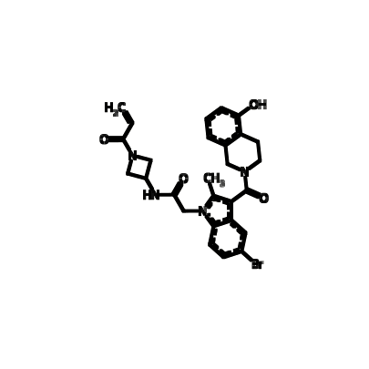 C=CC(=O)N1CC(NC(=O)Cn2c(C)c(C(=O)N3CCc4c(O)cccc4C3)c3cc(Br)ccc32)C1